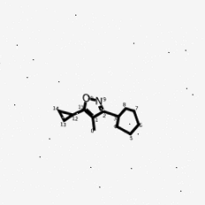 Cc1c(C2CCCCC2)noc1C1CC1